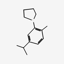 Cc1ccc(C(C)C)cc1N1CCCC1